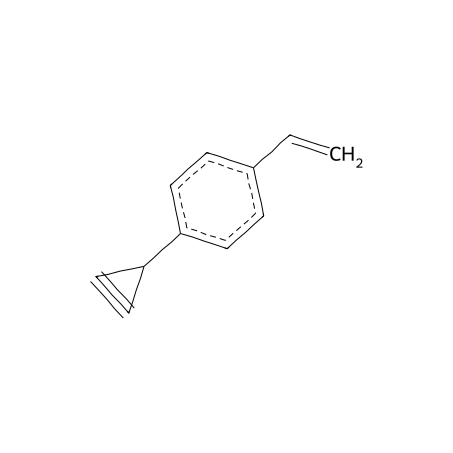 C=Cc1ccc(C2C#C2)cc1